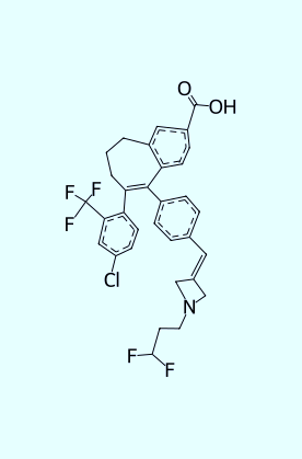 O=C(O)c1ccc2c(c1)CCCC(c1ccc(Cl)cc1C(F)(F)F)=C2c1ccc(C=C2CN(CCC(F)F)C2)cc1